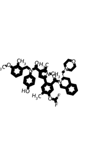 COc1cccc(CN(C(=O)c2cc(-c3cc(C)c(OC(F)F)cc3C(=O)N3Cc4ccccc4C[C@H]3CN3CCOCC3)n(C)c2C)c2ccc(O)cc2)c1C